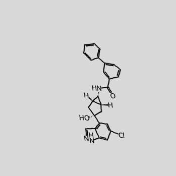 O=C(N[C@@H]1[C@@H]2C[C@@](O)(c3cc(Cl)cc4[nH]ncc34)C[C@@H]21)c1cccc(-c2ccccc2)c1